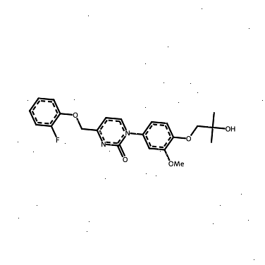 COc1cc(-n2ccc(COc3ccccc3F)nc2=O)ccc1OCC(C)(C)O